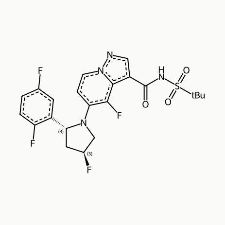 CC(C)(C)S(=O)(=O)NC(=O)c1cnn2ccc(N3C[C@@H](F)C[C@@H]3c3cc(F)ccc3F)c(F)c12